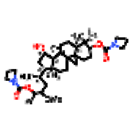 COC(C[C@@H](C)[C@H]1C[C@H](O)[C@@]2(C)C3CC[C@H]4C(C)(C)C(OC(=O)N5CCC5)CCC45CC35CCC12C)C(OC(=O)N1CCC1)C(C)C